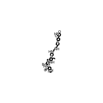 CCc1cc(Nc2ncc(Br)c(Nc3ccc4nccnc4c3P(C)(C)=O)n2)c(OC)cc1N1CCC(NCCNCCC2CCN(c3ccc(C4CCC(=O)NC4=O)cc3)CC2)CC1